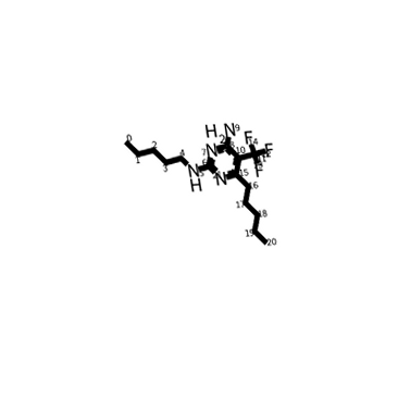 CCCCCNc1nc(N)c(C(F)(F)F)c(CCCCC)n1